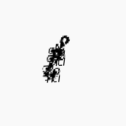 CC1(C)S[C@@H]2[C@@H](Cl)C(=O)N2[C@H]1C(=O)OCOC(=O)[C@@H]1N2C(=O)[C@@H](N=CN3CCCCCC3)[C@H]2S(=O)(=O)C1(C)C.Cl